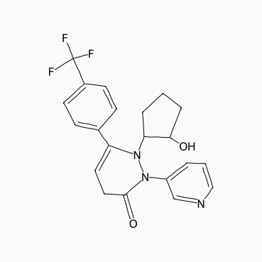 O=C1CC=C(c2ccc(C(F)(F)F)cc2)N(C2CCCC2O)N1c1cccnc1